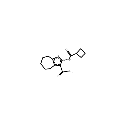 NC(=O)c1c(NC(=O)C2CCC2)sc2c1CCCCC2